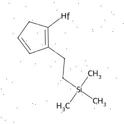 C[Si](C)(C)CCC1=[C]([Hf])CC=C1